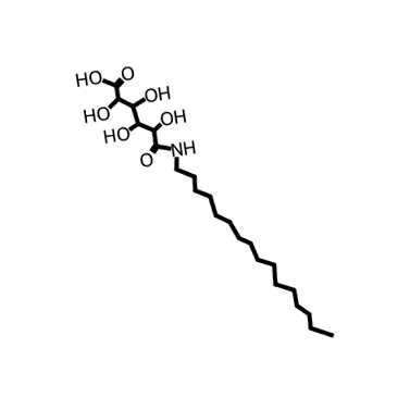 CCCCCCCCCCCCCCCCNC(=O)C(O)C(O)C(O)C(O)C(=O)O